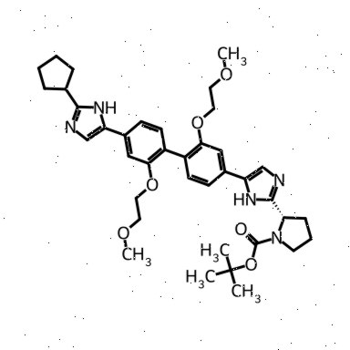 COCCOc1cc(-c2cnc(C3CCCC3)[nH]2)ccc1-c1ccc(-c2cnc([C@@H]3CCCN3C(=O)OC(C)(C)C)[nH]2)cc1OCCOC